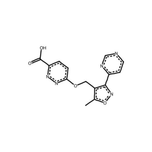 Cc1onc(-c2ccncn2)c1COc1ccc(C(=O)O)nn1